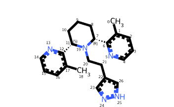 Cc1cccnc1[C@H]1CCC[C@@H](c2ncccc2C)N1CCc1cn[nH]c1